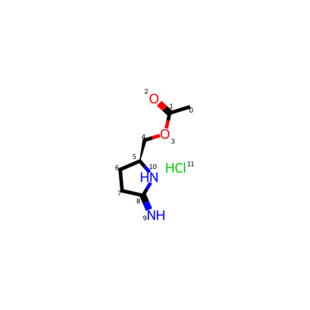 CC(=O)OC[C@@H]1CCC(=N)N1.Cl